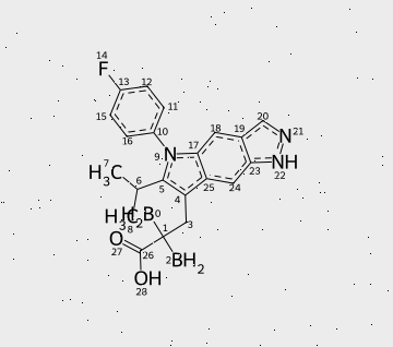 BC(B)(Cc1c(C(C)C)n(-c2ccc(F)cc2)c2cc3cn[nH]c3cc12)C(=O)O